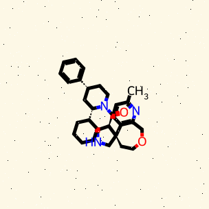 Cc1ccc2c(n1)COCC[C@]21CNC[C@H]1C(=O)N1CC[C@@H](c2ccccc2)C[C@H]1C1CCCCC1